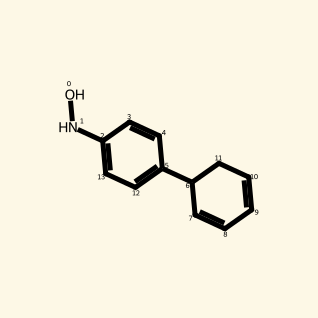 ONc1ccc(C2C=CC=CC2)cc1